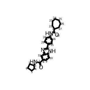 O=C(NC1CCCC1)c1ccc2[nH]c(-c3ccc(NC(=O)C4CCCCCC4)cc3)nc2c1